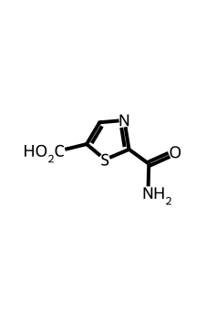 NC(=O)c1ncc(C(=O)O)s1